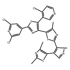 Cc1nc(C)c(-c2[c]n[nH]c2-c2nc(C)c(-c3nc(-c4cc(Cl)nc(Cl)c4)sc3-c3cnccc3Cl)s2)s1